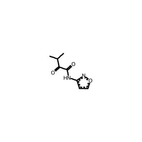 CC(C)C(=O)C(=O)Nc1ccon1